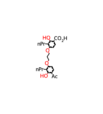 CCCc1c(OCCCOc2ccc(C(=O)O)c(O)c2CCC)ccc(C(C)=O)c1O